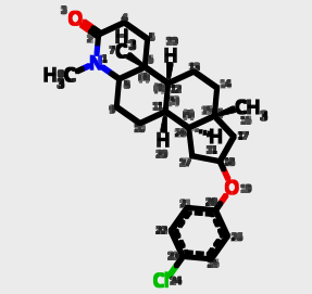 CN1C(=O)CC[C@@]2(C)C1CC[C@@H]1[C@H]2CC[C@]2(C)CC(Oc3ccc(Cl)cc3)C[C@@H]12